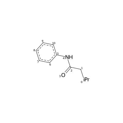 CC(C)CC(=O)Nc1c[c][c]cc1